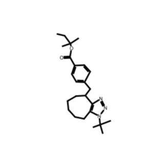 CCC(C)(C)OC(=O)c1ccc(CC2CCCCCc3c2nnn3C(C)(C)C)cc1